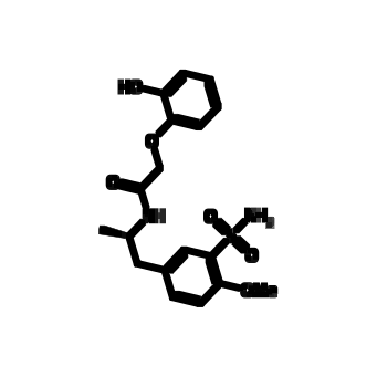 COc1ccc(C[C@@H](C)NC(=O)COc2ccccc2O)cc1S(N)(=O)=O